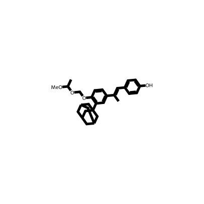 COC(C)OCOc1ccc(C(C)=Cc2ccc(O)cc2)cc1C12CC3CC(CC(C3)C1)C2